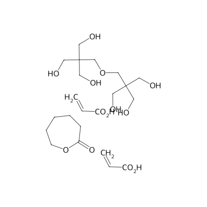 C=CC(=O)O.C=CC(=O)O.O=C1CCCCCO1.OCC(CO)(CO)COCC(CO)(CO)CO